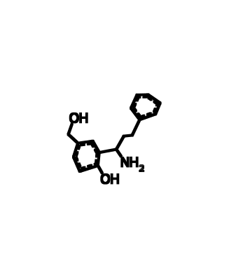 NC(CCc1ccccc1)c1cc(CO)ccc1O